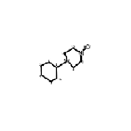 [O-][N+]1CCN(C2CCCCC2)CC1